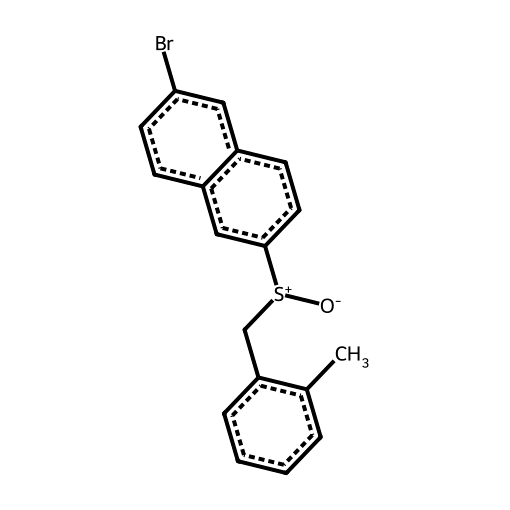 Cc1ccccc1C[S+]([O-])c1ccc2cc(Br)ccc2c1